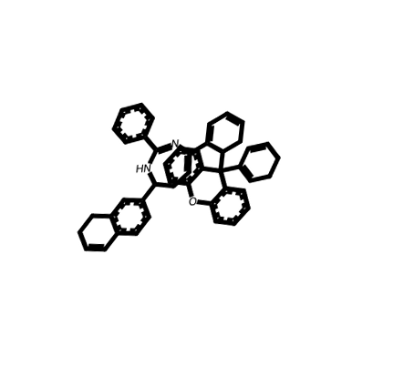 C1=CCC(C2(C3=CCCC=C3)c3ccccc3Oc3ccccc32)C(C2=CCC(c3ccc4c(c3)CCC=C4)NC(c3ccccc3)=N2)=C1